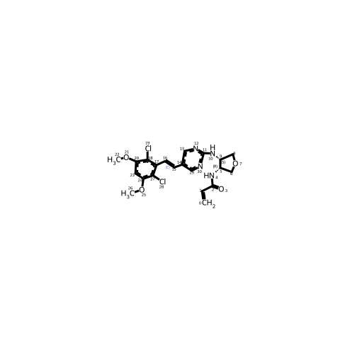 C=CC(=O)N[C@H]1COC[C@H]1Nc1ncc(/C=C/c2c(Cl)c(OC)cc(OC)c2Cl)cn1